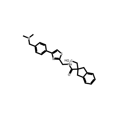 CN(C)Cc1ccc(-c2csc(CNC(=O)C3(CC(=O)O)Cc4ccccc4C3)n2)cc1